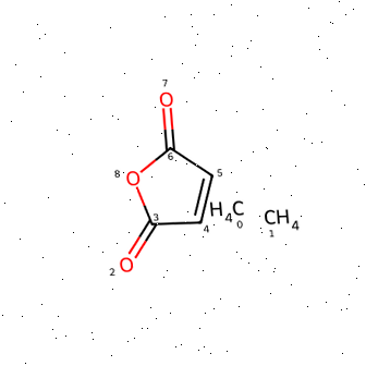 C.C.O=C1C=CC(=O)O1